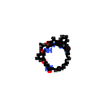 CC(C)C[C@H]1NC(=O)c2ccccc2OCc2noc(n2)CCCCCCCCNC(=O)[C@H](Cc2ccccc2)N(C)C(=O)[C@H]2CCCN2C1=O